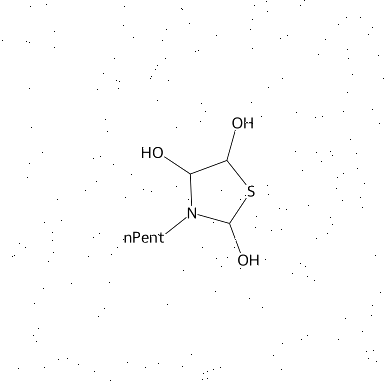 CCCCCN1C(O)SC(O)C1O